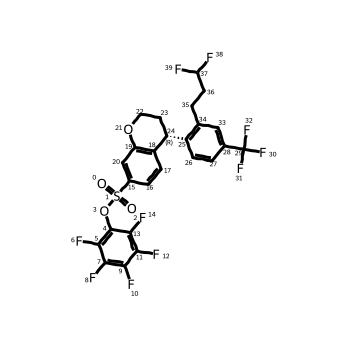 O=S(=O)(Oc1c(F)c(F)c(F)c(F)c1F)c1ccc2c(c1)OCC[C@@H]2c1ccc(C(F)(F)F)cc1CCC(F)F